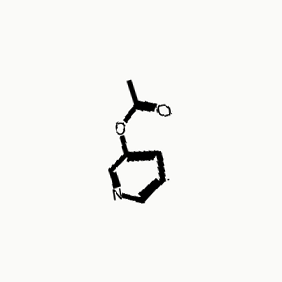 CC(=O)Oc1c[c]cnc1